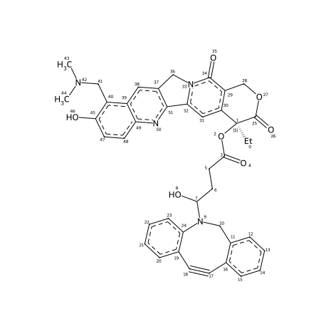 CC[C@@]1(OC(=O)CCC(O)N2Cc3ccccc3C#Cc3ccccc32)C(=O)OCc2c1cc1n(c2=O)Cc2cc3c(CN(C)C)c(O)ccc3nc2-1